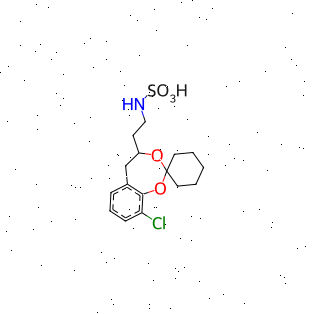 O=S(=O)(O)NCCC1Cc2cccc(Cl)c2OC2(CCCCC2)O1